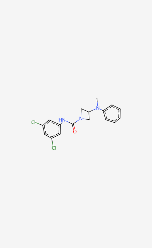 CN(c1ccccc1)C1CN(C(=O)Nc2cc(Cl)cc(Cl)c2)C1